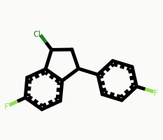 Fc1ccc(C2CC(Cl)c3cc(F)ccc32)cc1